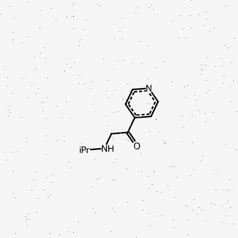 CC(C)NCC(=O)c1ccncc1